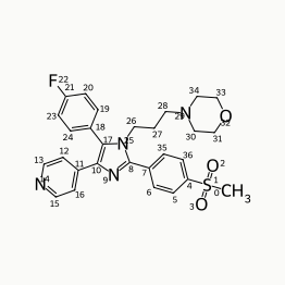 CS(=O)(=O)c1ccc(-c2nc(-c3ccncc3)c(-c3ccc(F)cc3)n2CCCN2CCOCC2)cc1